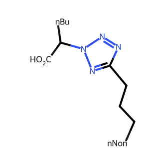 CCCCCCCCCCCCc1nnn(C(CCCC)C(=O)O)n1